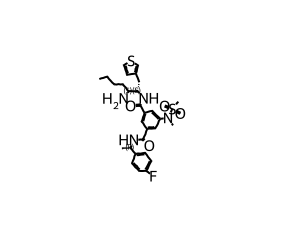 CCCC[C@H](N)[C@H](Cc1ccsc1)NC(=O)c1cc(C(=O)N[C@H](C)c2ccc(F)cc2)cc(N(C)S(C)(=O)=O)c1